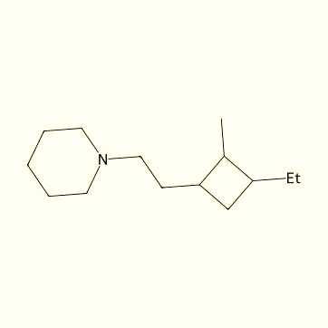 CCC1CC(CCN2CCCCC2)C1C